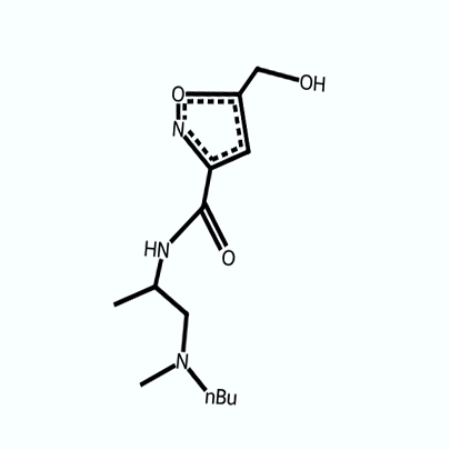 CCCCN(C)CC(C)NC(=O)c1cc(CO)on1